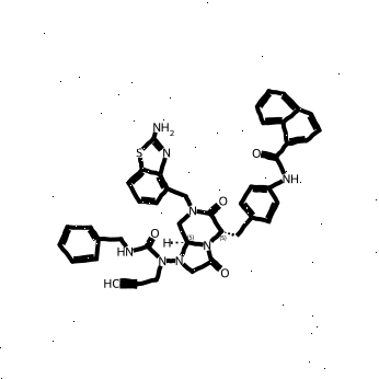 C#CCN(C(=O)NCc1ccccc1)N1CC(=O)N2[C@@H](Cc3ccc(NC(=O)c4cccc5ccccc45)cc3)C(=O)N(Cc3cccc4sc(N)nc34)C[C@@H]21